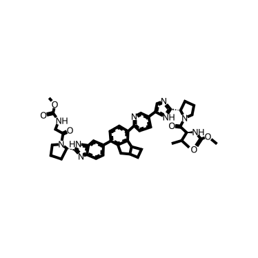 COC(=O)NCC(=O)N1CCC[C@H]1c1nc2ccc(-c3ccc(-c4ccc(-c5cnc([C@@H]6CCCN6C(=O)[C@@H](NC(=O)OC)C(C)C)[nH]5)cn4)c4c3CC3CCC43)cc2[nH]1